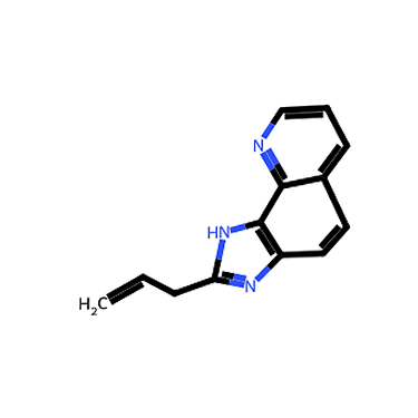 C=CCc1nc2ccc3cccnc3c2[nH]1